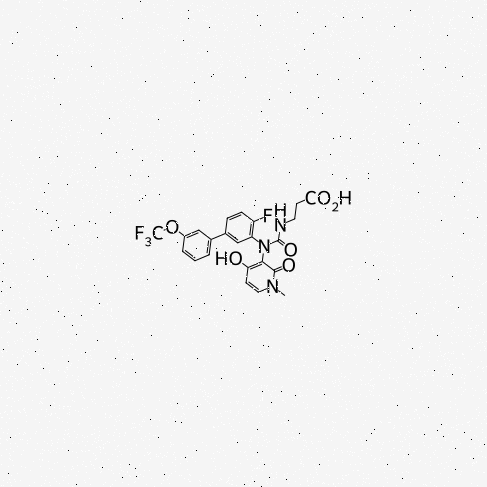 Cn1ccc(O)c(N(C(=O)NCCC(=O)O)c2cc(-c3cccc(OC(F)(F)F)c3)ccc2F)c1=O